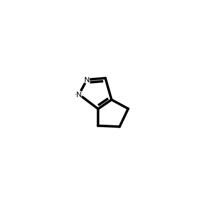 C1=N[N]C2=C1CCC2